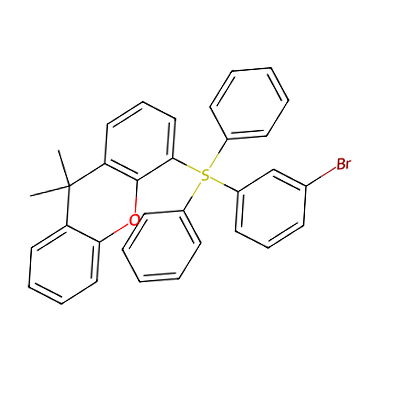 CC1(C)c2ccccc2Oc2c1cccc2S(c1ccccc1)(c1ccccc1)c1cccc(Br)c1